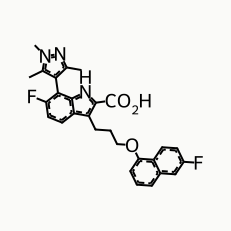 Cc1nn(C)c(C)c1-c1c(F)ccc2c(CCCOc3cccc4cc(F)ccc34)c(C(=O)O)[nH]c12